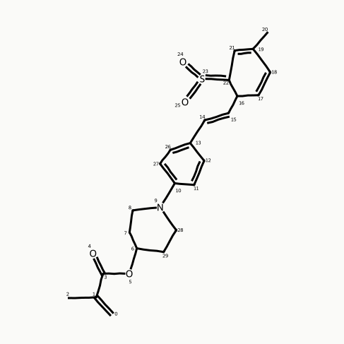 C=C(C)C(=O)OC1CCN(c2ccc(C=CC3C=CC(C)=CC3=S(=O)=O)cc2)CC1